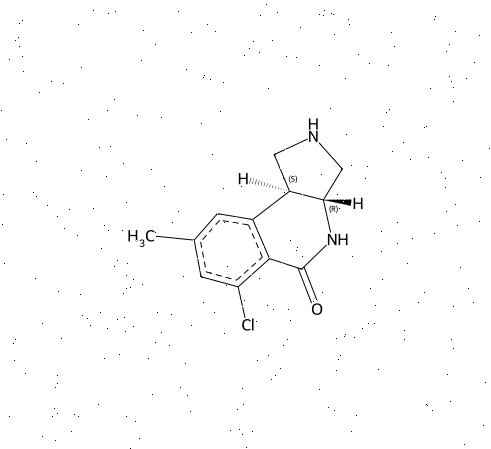 Cc1cc(Cl)c2c(c1)[C@H]1CNC[C@@H]1NC2=O